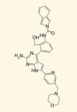 Nc1nc(-c2cccc(NC(=O)n3cc4ccccc4c3)c2CO)c2cc(-c3ccc(CN4CCOCC4)cn3)[nH]c2n1